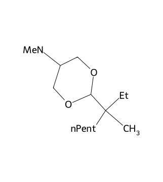 CCCCCC(C)(CC)C1OCC(NC)CO1